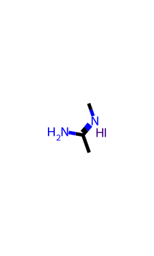 CN=C(C)N.I